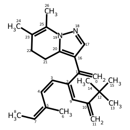 C=C(C(/C=C\C(C)=C/C)=C\C(=C)C(C)(C)C)c1cnn2c1CCC(C)=C2C